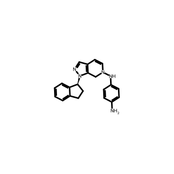 Nc1ccc(NN2C=Cc3cnn([C@H]4CCc5ccccc54)c3C2)cc1